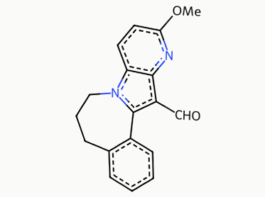 COc1ccc2c(n1)c(C=O)c1n2CCCc2ccccc2-1